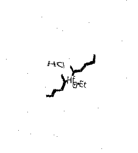 CC=CC=[C](C)[Hf]([O]CC)[C](C)=CC=CC.Cl